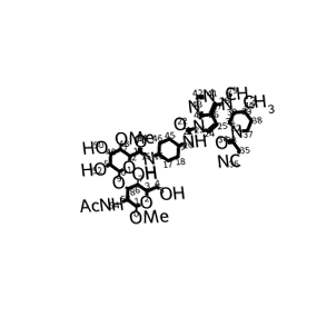 CO[C@@H]1OC(CO)[C@@H](O)[C@H](O[C@@H]2OC(C(=O)NC3CCC(NC(=O)n4ccc5c(N(C)[C@H]6CN(C(=O)CC#N)CC[C@H]6C)ncnc54)CC3)[C@@H](OC)[C@H](O)C2O)C1NC(C)=O